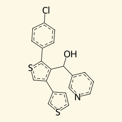 OC(c1cccnc1)c1c(-c2ccsc2)csc1-c1ccc(Cl)cc1